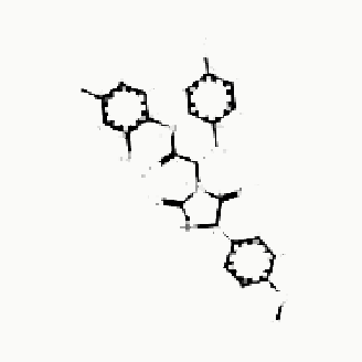 COc1ccc([C@H]2NC(=O)N([C@@H](Cc3ccc(Cl)cc3)C(=O)Nc3ccc(I)cc3F)C2=O)cc1